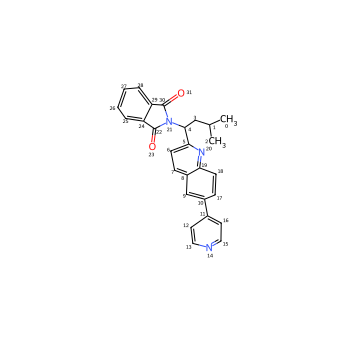 CC(C)CC(c1ccc2cc(-c3ccncc3)ccc2n1)N1C(=O)c2ccccc2C1=O